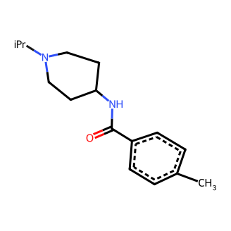 Cc1ccc(C(=O)NC2CCN(C(C)C)CC2)cc1